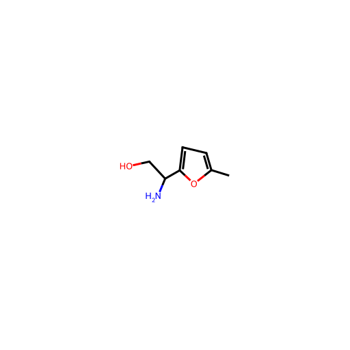 Cc1ccc(C(N)CO)o1